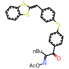 CCCC/C(=N\OC(C)=O)C(=O)c1ccc(Sc2ccc(C=C3Sc4ccccc4S3)cc2)cc1